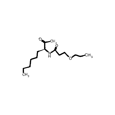 CCCCCC[C@H](NC(=O)CCOCCC)C(C)=O